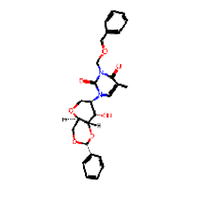 Cc1cn([C@@H]2CO[C@@H]3CO[C@@H](c4ccccc4)O[C@H]3[C@H]2O)c(=O)n(COCc2ccccc2)c1=O